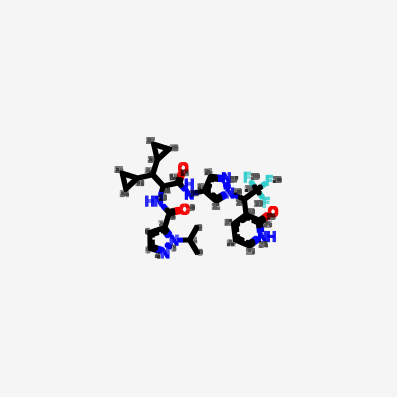 CC(C)n1nccc1C(=O)NC(C(=O)Nc1cnn(C(c2ccc[nH]c2=O)C(F)(F)F)c1)C(C1CC1)C1CC1